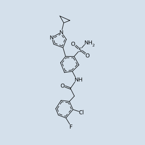 NS(=O)(=O)c1cc(NC(=O)Cc2cccc(F)c2Cl)ccc1-c1cnn(C2CC2)c1